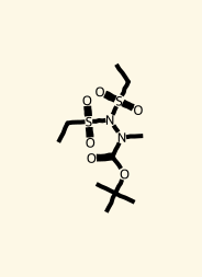 CCS(=O)(=O)N(N(C)C(=O)OC(C)(C)C)S(=O)(=O)CC